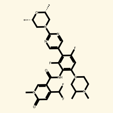 CC1CN(c2cc(F)c(-c3cnc(N4C[C@@H](C)O[C@@H](C)C4)nc3)c(F)c2NC(=O)c2cn(C)c(=O)cc2C(F)F)CCN1C